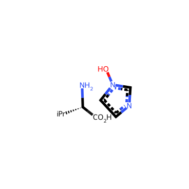 CC(C)[C@H](N)C(=O)O.On1ccnc1